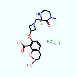 CN1CCN[C@](C)(CN2CC(Oc3ccc4c(c3C(=O)O)OB(O)CC4)C2)C1=O.Cl.Cl